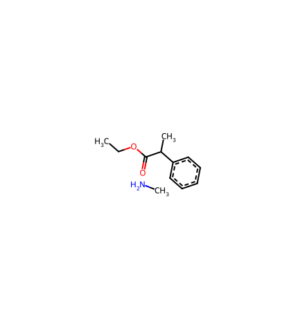 CCOC(=O)C(C)c1ccccc1.CN